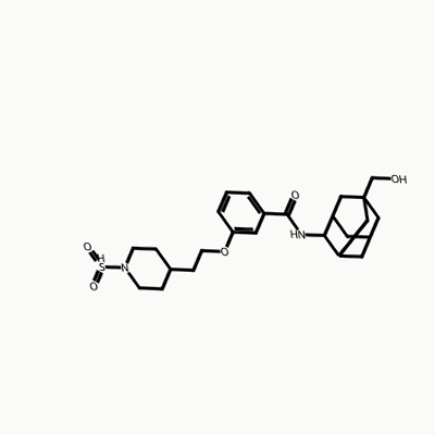 O=C(NC1C2CC3CC1CC(CO)(C3)C2)c1cccc(OCCC2CCN([SH](=O)=O)CC2)c1